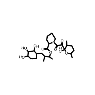 CC1CCC(C)C(O)(C(=O)C(=O)N2CCCCC2C(=O)OC(C)C(C)CC2CCC(O)C(O)C2O)O1